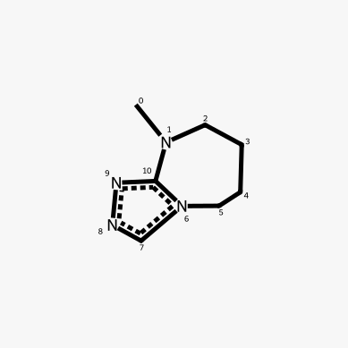 CN1CCCCn2cnnc21